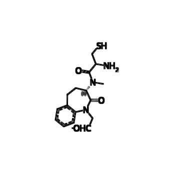 CN(C(=O)C(N)CS)[C@H]1CCc2ccccc2N(C[C]=O)C1=O